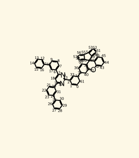 C1=CC(c2nc(-c3cccc(-c4ccccc4)c3)cc(-c3cccc(-c4ccccc4)c3)n2)=CC(C2C=CC3=C(C2)Oc2ccccc2C32c3ccccc3-c3ccccc32)C1